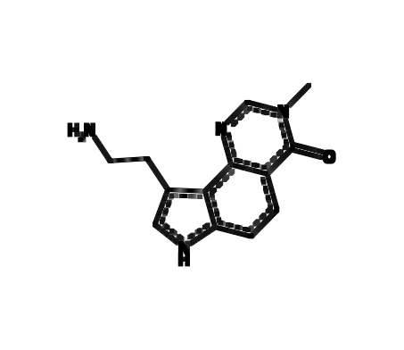 Cn1cnc2c(ccc3[nH]cc(CCN)c32)c1=O